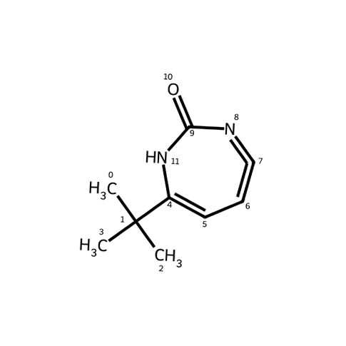 CC(C)(C)C1=CC=C=NC(=O)N1